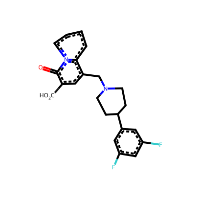 O=C(O)c1cc(CN2CCC(c3cc(F)cc(F)c3)CC2)c2ccccn2c1=O